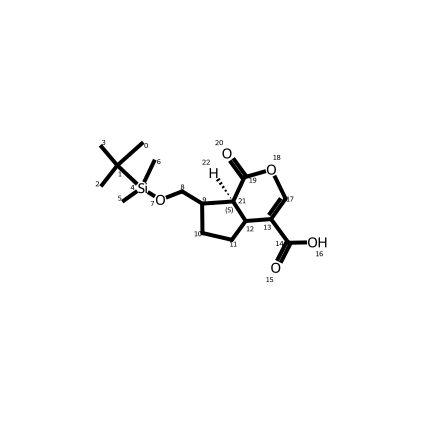 CC(C)(C)[Si](C)(C)OCC1CCC2C(C(=O)O)=COC(=O)[C@H]12